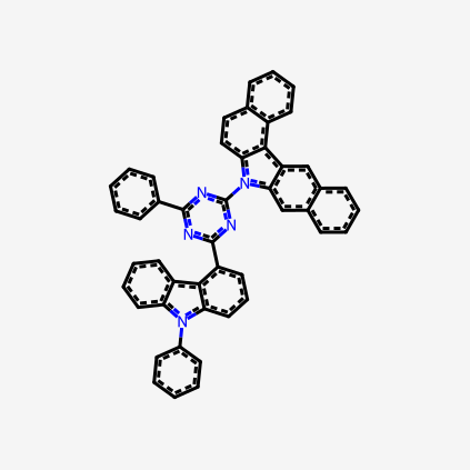 c1ccc(-c2nc(-c3cccc4c3c3ccccc3n4-c3ccccc3)nc(-n3c4cc5ccccc5cc4c4c5ccccc5ccc43)n2)cc1